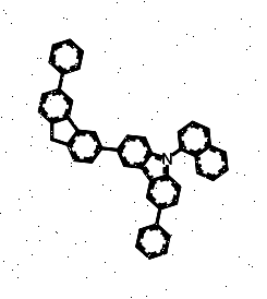 c1ccc(-c2ccc3c(c2)-c2cc(-c4ccc5c(c4)c4cc(-c6ccccc6)ccc4n5-c4cccc5ccccc45)ccc2C3)cc1